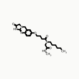 CCCCCCN(CC(=O)NC)C(=O)CCCOc1ccc2c(c1)CN1CC(=O)NC1=N2